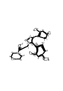 O=C(Cn1nnc(-c2ccc(Cl)cc2Cl)c1-c1ccc(Cl)cc1Cl)N1CCOCC1